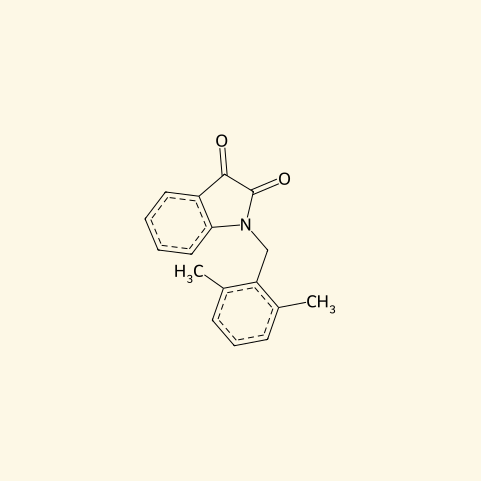 Cc1cccc(C)c1CN1C(=O)C(=O)c2ccccc21